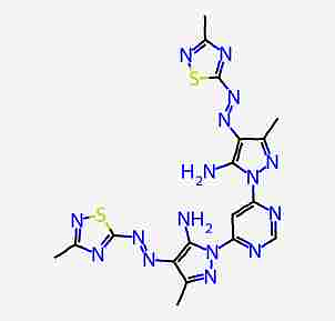 Cc1nsc(N=Nc2c(C)nn(-c3cc(-n4nc(C)c(N=Nc5nc(C)ns5)c4N)ncn3)c2N)n1